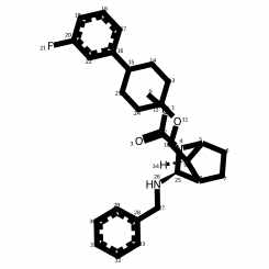 COC(=O)N1C2CCC([C@H]2COC2CCC(c3cccc(F)c3)CC2)[C@H]1NCc1ccccc1